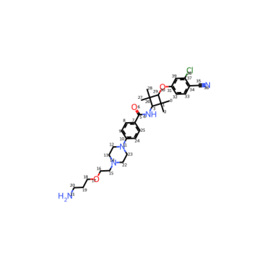 CC1(C)C(NC(=O)c2ccc(N3CCN(CCOCCCN)CC3)cc2)C(C)(C)C1Oc1ccc(C#N)c(Cl)c1